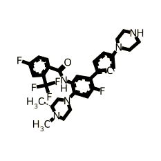 C[C@@H]1CN(c2cc(F)c(-c3ccc(N4CCNCC4)cc3)cc2NC(=O)c2ccc(F)cc2C(F)(F)F)CCN1C